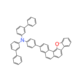 c1ccc(-c2cccc(N(c3ccc(-c4ccc5c(ccc6ccc7c8ccccc8oc7c65)c4)cc3)c3cccc(-c4ccccc4)c3)c2)cc1